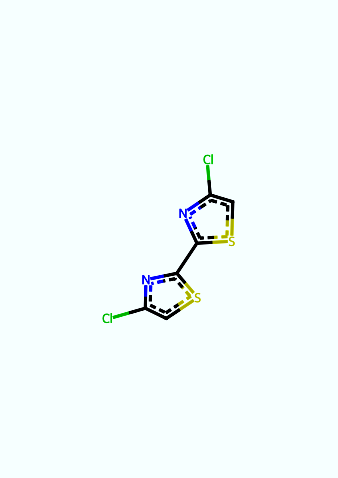 Clc1csc(-c2nc(Cl)cs2)n1